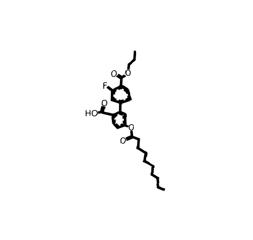 CCCCCCCCCC(=O)Oc1ccc(C(=O)O)c(-c2ccc(C(=O)OCCC)c(F)c2)c1